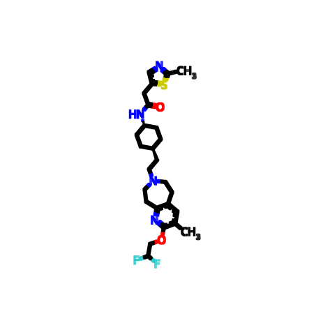 Cc1ncc(CC(=O)N[C@H]2CC[C@H](CCN3CCc4cc(C)c(OCC(F)F)nc4CC3)CC2)s1